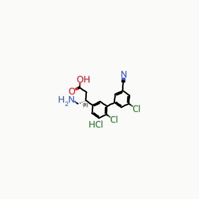 Cl.N#Cc1cc(Cl)cc(-c2cc([C@H](CN)CC(=O)O)ccc2Cl)c1